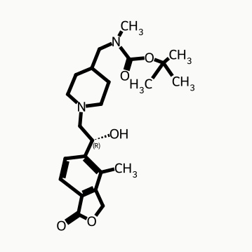 Cc1c([C@@H](O)CN2CCC(CN(C)C(=O)OC(C)(C)C)CC2)ccc2c1COC2=O